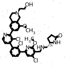 COc1cc(-c2nccc(-c3cccc(-c4cc(Cl)c(CNC[C@@H]5CCC(=O)N5)c(OC)n4)c3Cl)c2Cl)cc2c1CN(CCO)CC2